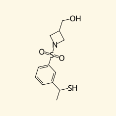 CC(S)c1cccc(S(=O)(=O)N2CC(CO)C2)c1